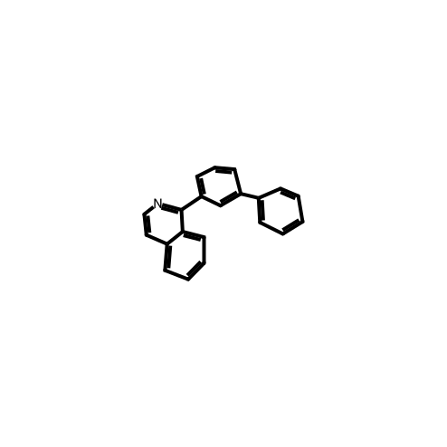 c1ccc(-c2cccc(-c3nccc4ccccc34)c2)cc1